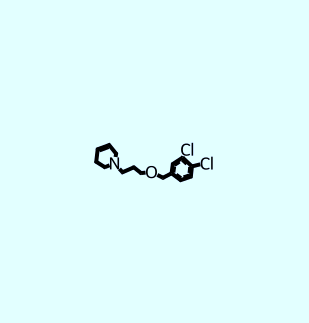 Clc1ccc(COCCCN2CC=CCC2)cc1Cl